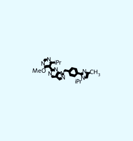 COc1ncnc(C(C)C)c1-c1ncc2cnn(Cc3ccc(-c4nc(C)cn4C(C)C)cc3)c2n1